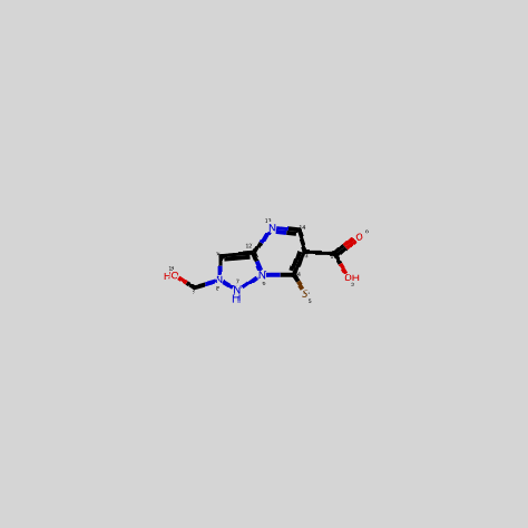 O=C(O)C1=C([S])N2NN(CO)C=C2N=C1